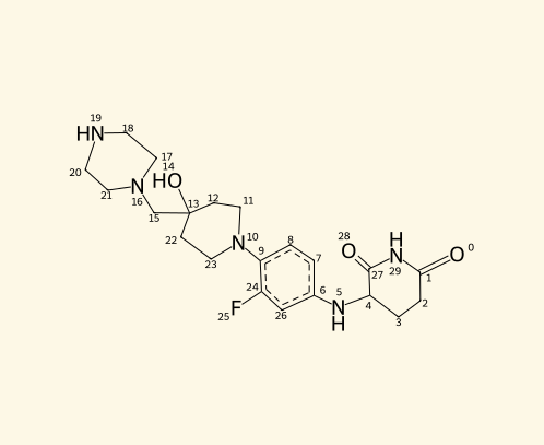 O=C1CCC(Nc2ccc(N3CCC(O)(CN4CCNCC4)CC3)c(F)c2)C(=O)N1